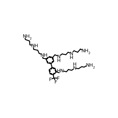 NCCCNCCCNCc1cc(CNCCCNCCCN)cc(-c2ccc(C(F)(F)F)c(CNCCCNCCCN)c2)c1